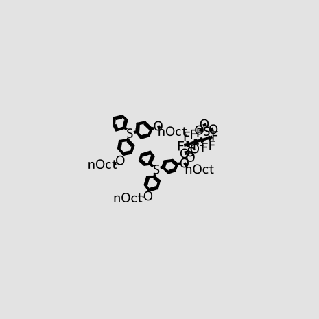 CCCCCCCCOc1ccc([S+](c2ccccc2)c2ccc(OCCCCCCCC)cc2)cc1.CCCCCCCCOc1ccc([S+](c2ccccc2)c2ccc(OCCCCCCCC)cc2)cc1.O=S(=O)([O-])C(F)(F)C(F)(F)C(F)(F)C(F)(F)S(=O)(=O)[O-]